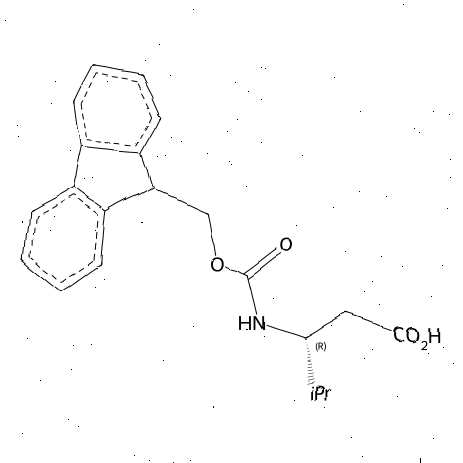 CC(C)[C@@H](CC(=O)O)NC(=O)OCC1c2ccccc2-c2ccccc21